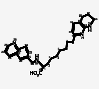 O=C(O)C(CCCCCCCc1ccc2c(n1)NCCC2)NCc1ccc2ncccc2c1